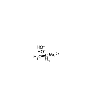 CC.[Mg+2].[OH-].[OH-]